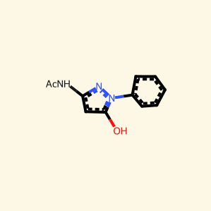 CC(=O)Nc1cc(O)n(-c2ccccc2)n1